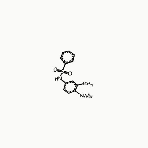 CNc1ccc(NS(=O)(=O)c2ccccc2)cc1N